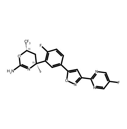 C[C@@]1(c2cc(-c3cc(-c4ncc(F)cn4)no3)ccc2F)C[C@@H](C(F)(F)F)OC(N)=N1